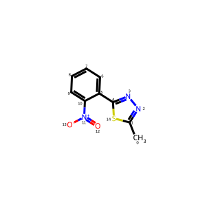 Cc1nnc(-c2ccccc2[N+](=O)[O-])s1